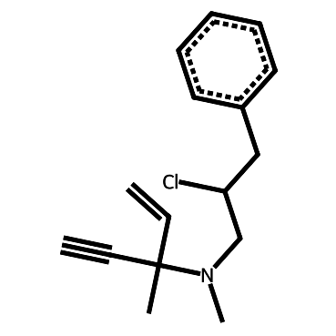 C#CC(C)(C=C)N(C)CC(Cl)Cc1ccccc1